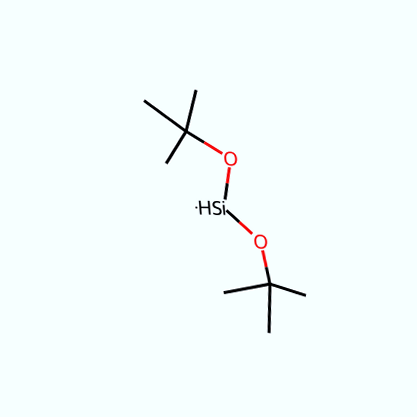 CC(C)(C)O[SiH]OC(C)(C)C